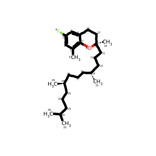 Cc1cc(F)cc2c1O[C@](C)(CCC[C@H](C)CCC[C@H](C)CCCC(C)C)CC2